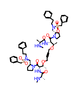 CN[C@@H](C)C(=O)N[C@H](C(=O)N1CCC[C@H]1CN(CCc1ccccc1)S(=O)(=O)Cc1ccccc1)[C@@H](C)OCC#CCO[C@H](C)[C@H](NC(=O)[C@H](C)NC)C(=O)N1CCC[C@H]1CN(CCc1ccccc1)S(=O)(=O)Cc1ccccc1